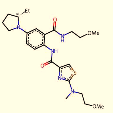 CC[C@H]1CCCN1c1ccc(NC(=O)c2csc(N(C)CCOC)n2)c(C(=O)NCCOC)c1